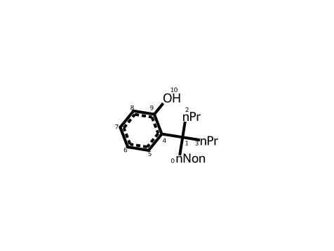 CCCCCCCCCC(CCC)(CCC)c1ccccc1O